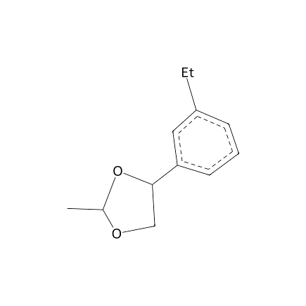 CCc1cccc(C2COC(C)O2)c1